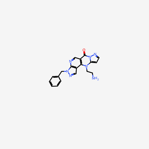 NCCn1c2c(cnc3c2cnn3Cc2ccccc2)c(=O)n2nccc12